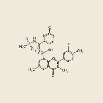 Cc1cc([C@@H](C)Nc2ccc(Cl)nc2C(=O)NS(C)(=O)=O)c2oc(-c3ccc(C)c(F)c3)c(C)c(=O)c2c1